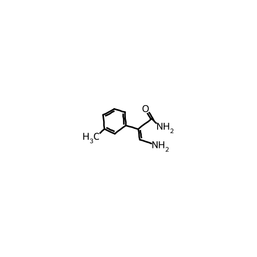 Cc1cccc(C(=CN)C(N)=O)c1